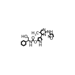 Cc1cnc(Nc2ccon2)nc1-c1c[nH]c(OC(=O)NC(CO)c2ccccc2)c1